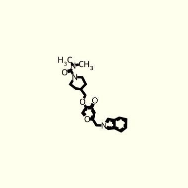 CN(C)C(=O)N1CCC(COc2coc(Cn3cc4ccccc4c3)cc2=O)CC1